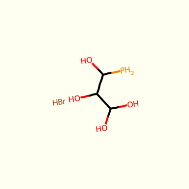 Br.OC(O)C(O)C(O)P